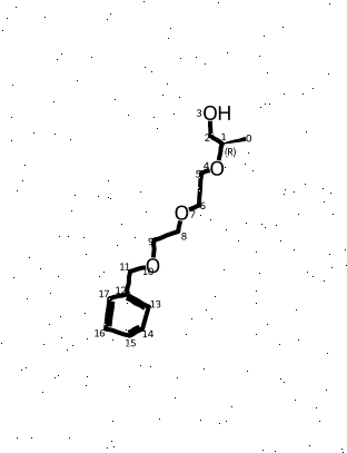 C[C@H](CO)OCCOCCOCc1ccccc1